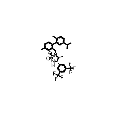 Cc1ccc(-c2cc(C(C)C)ccc2C)c(CN2[C@@H](C)[C@@H](c3cc(C(F)(F)F)cc(C(F)(F)F)c3)NS2(=O)=O)c1